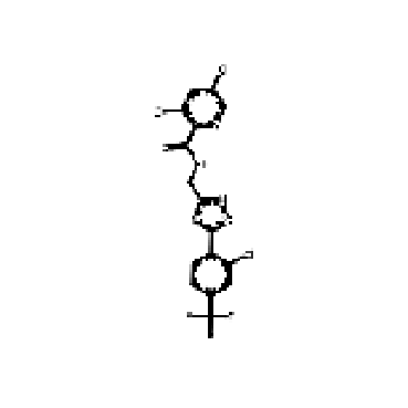 O=C(NCc1noc(-c2ccc(C(F)(F)F)cc2Cl)n1)c1ncc(Cl)cc1Cl